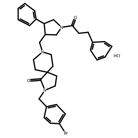 Cl.O=C(CCc1ccccc1)N1CC(CN2CCC3(CC2)CCN(Cc2ccc(Br)cc2)C3=O)C(c2ccccc2)C1